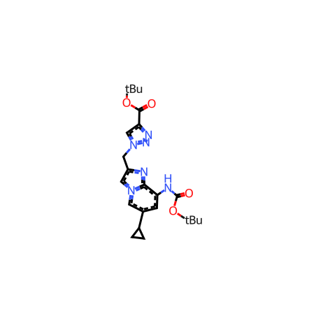 CC(C)(C)OC(=O)Nc1cc(C2CC2)cn2cc(Cn3cc(C(=O)OC(C)(C)C)nn3)nc12